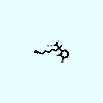 C#CCCCCCC(C)(C(=O)OC)c1cccc(Br)c1F